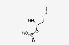 CCCCCO[PH](=O)O.N